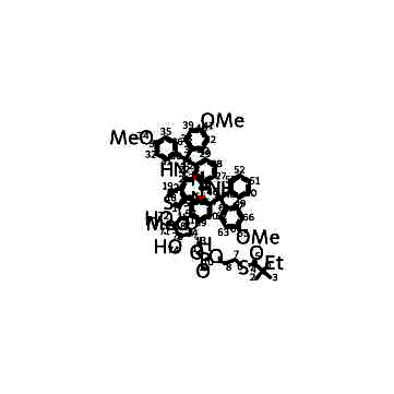 CCC(C)(C)C(=O)SCCO[PH](=O)OC[C@H]1O[C@@H](c2scc3c(NC(c4ccccc4)(c4ccc(OC)cc4)c4ccc(OC)cc4)nc(NC(c4ccccc4)(c4ccc(OC)cc4)c4ccc(OC)cc4)nc23)[C@](C)(O)[C@@H]1O